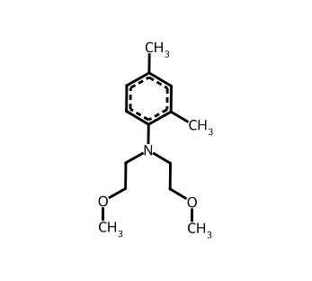 COCCN(CCOC)c1ccc(C)cc1C